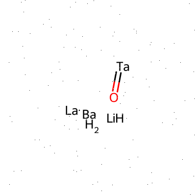 [BaH2].[La].[LiH].[O]=[Ta]